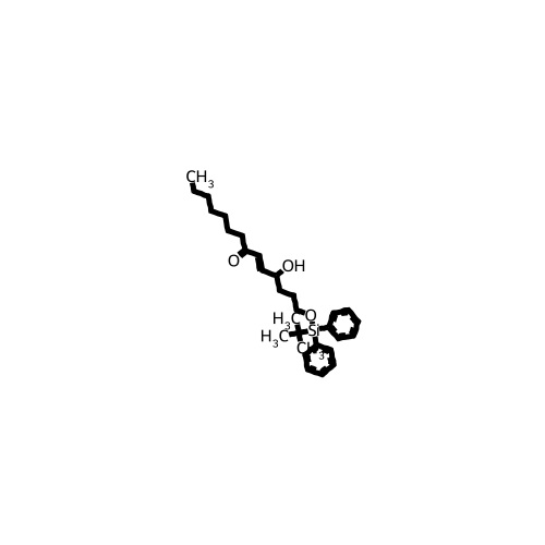 CCCCCCCC(=O)C=CC(O)CCCO[Si](c1ccccc1)(c1ccccc1)C(C)(C)C